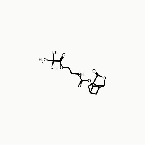 CCC(C)(C)C(=O)OCCNC(=O)OC1C2CC3C(=O)OC1C3C2